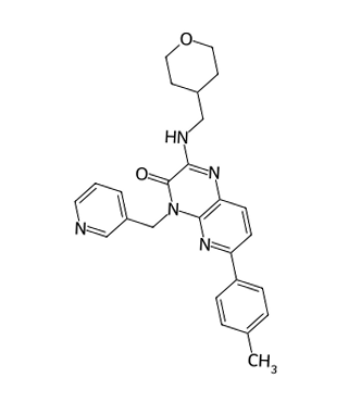 Cc1ccc(-c2ccc3nc(NCC4CCOCC4)c(=O)n(Cc4cccnc4)c3n2)cc1